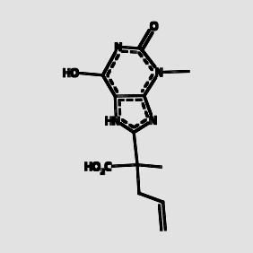 C=CCC(C)(C(=O)O)c1nc2c([nH]1)c(O)nc(=O)n2C